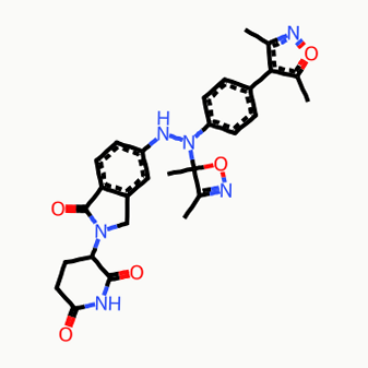 CC1=NOC1(C)N(Nc1ccc2c(c1)CN(C1CCC(=O)NC1=O)C2=O)c1ccc(-c2c(C)noc2C)cc1